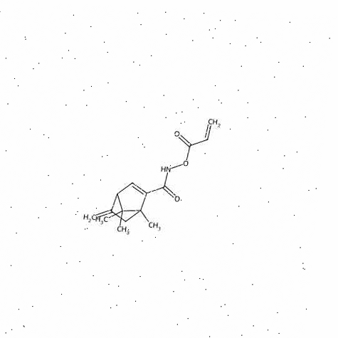 C=CC(=O)ONC(=O)C1=CC2C(=C)CC1(C)C2(C)C